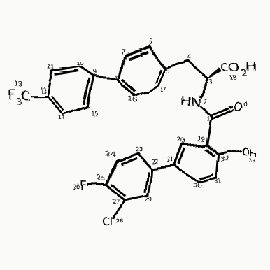 O=C(N[C@@H](Cc1ccc(-c2ccc(C(F)(F)F)cc2)cc1)C(=O)O)c1cc(-c2ccc(F)c(Cl)c2)ccc1O